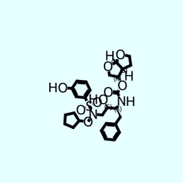 O=C(N[C@@H](Cc1ccccc1)[C@@H](O)CN(OC1CCCC1)S(=O)(=O)c1cccc(O)c1)O[C@H]1CO[C@H]2OCC[C@H]21